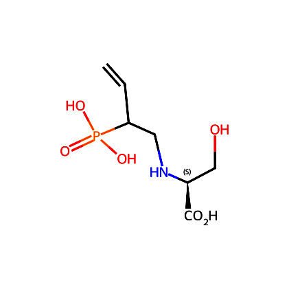 C=CC(CN[C@@H](CO)C(=O)O)P(=O)(O)O